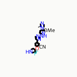 COc1nc(Nc2nccc(-c3ccc(OC4CCNCC4(F)F)c(C#N)c3)n2)ccc1N1CCN(C)C[C@@H]1C